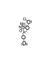 CN1C(=O)C2(C[C@](C)(Cc3ccc(-c4cncnc4)cc3)Cc3ccc(-c4cncc(Cl)c4)cc32)N=C1N